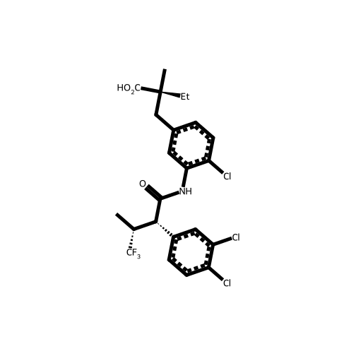 CC[C@@](C)(Cc1ccc(Cl)c(NC(=O)[C@H](c2ccc(Cl)c(Cl)c2)[C@@H](C)C(F)(F)F)c1)C(=O)O